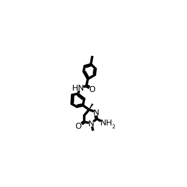 Cc1ccc(C(=O)Nc2cccc([C@@]3(C)CC(=O)N(C)C(N)=N3)c2)cc1